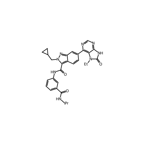 CCn1c(=O)[nH]c2ncnc(-c3ccc4c(C(=O)Nc5cccc(C(=O)NC(C)C)c5)n(CC5CC5)nc4c3)c21